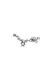 CCOC(=O)C(C)(C)CCCCOc1ccccc1OCCCCCBr